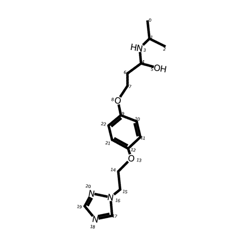 CC(C)NC(O)CCOc1ccc(OCCn2cncn2)cc1